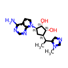 CC(c1cncn1C)[C@H]1C[C@@H](n2ccc3c(N)ncnc32)[C@H](O)[C@@H]1O